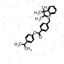 CC1=[N+](Cc2ccc(C(=O)Oc3ccc(C(C)C)cc3)cc2)c2ccccc2C1(C)C